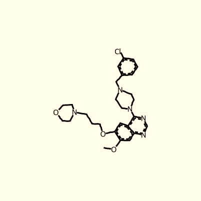 COc1cc2ncnc(N3CCN(Cc4cccc(Cl)c4)CC3)c2cc1OCCCN1CCOCC1